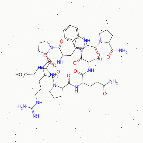 CCC(C)C(NC(=O)C(CCC(N)=O)NC(=O)C1CCCN1C(=O)C(CCCNC(=N)N)NC(=O)C1CCCN1C(=O)C(Cc1c[nH]c2ccccc12)NC(=O)C(N)CCC(=O)O)C(=O)N1CCCC1C(=O)N1CCCC1C(N)=O